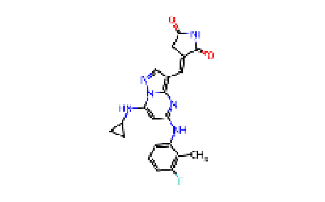 Cc1c(F)cccc1Nc1cc(NC2CC2)n2ncc(C=C3CC(=O)NC3=O)c2n1